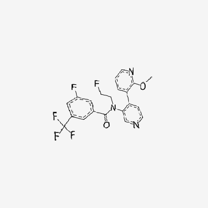 COc1ncccc1-c1ccncc1N(CCF)C(=O)c1cc(F)cc(C(F)(F)F)c1